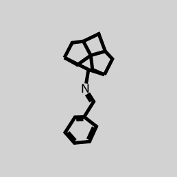 C(=N\C1C2CC3CC4CC1CC34C2)/c1ccccc1